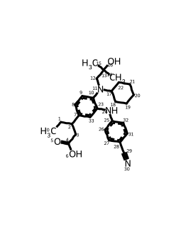 CCC(CC(=O)O)c1ccc(N(CC(C)(C)O)C2CCCCC2)c(Nc2ccc(C#N)cc2)c1